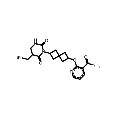 CC(C)CC1CNC(=O)N(C2CC3(CC(Oc4ncccc4C(N)=O)C3)C2)C1=O